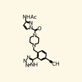 C#Cc1ccc(CN2CCN(C(=O)n3ccc(NC(C)=O)n3)CC2)c(-c2nnn[nH]2)c1